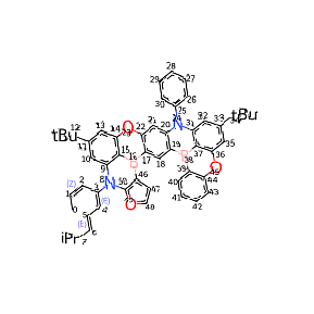 C\C=C/C(=C\C=C\C(C)C)N1c2cc(C(C)(C)C)cc3c2B(c2cc4c(cc2O3)N(c2ccccc2)c2cc(C(C)(C)C)cc3c2B4c2ccccc2O3)c2ccoc21